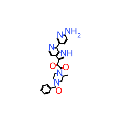 CC1CN(C(=O)c2ccccc2)CCN1C(=O)C(=O)c1c[nH]c2c(-c3ccc(N)nc3)nccc12